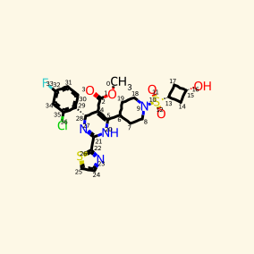 COC(=O)C1=C(C2CCN(S(=O)(=O)[C@H]3C[C@@H](O)C3)CC2)NC(c2nccs2)=N[C@@H]1c1ccc(F)cc1Cl